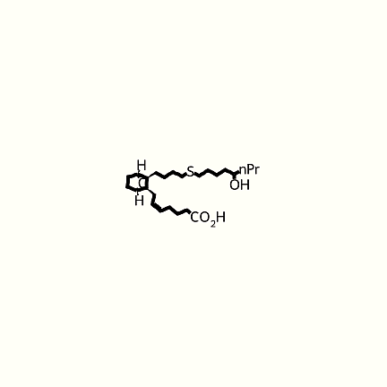 CCCC(O)CCCCSCCCC[C@H]1[C@@H](C/C=C\CCCC(=O)O)[C@H]2CC[C@@H]1O2